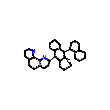 c1ccc2c(-c3c4ccccc4c(-c4ccc5ccc6cccnc6c5n4)c4ccccc34)cccc2c1